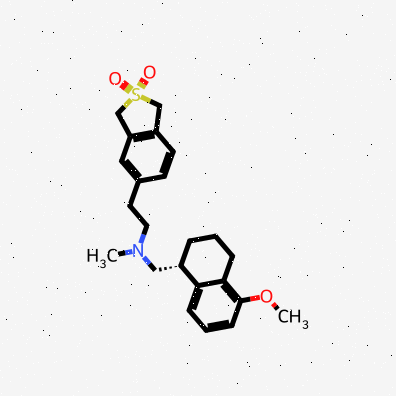 COc1cccc2c1CCC[C@H]2CN(C)CCc1ccc2c(c1)CS(=O)(=O)C2